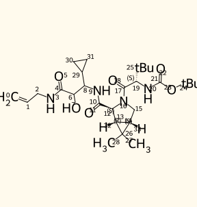 C=CCNC(=O)C(O)C(NC(=O)[C@@H]1[C@@H]2[C@H](CN1C(=O)[C@@H](NC(=O)OC(C)(C)C)C(C)(C)C)C2(C)C)C1CC1